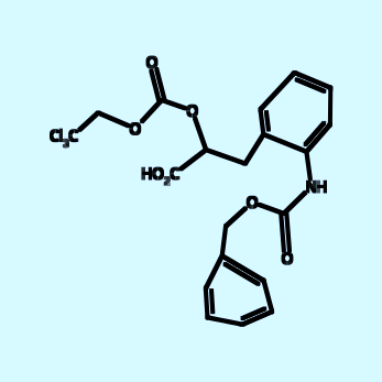 O=C(Nc1ccccc1CC(OC(=O)OCC(Cl)(Cl)Cl)C(=O)O)OCc1ccccc1